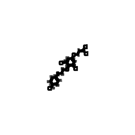 ClC(Cl)=CCOc1cc(Cl)c(OCCSc2ccc(Cl)cc2)c(Cl)c1